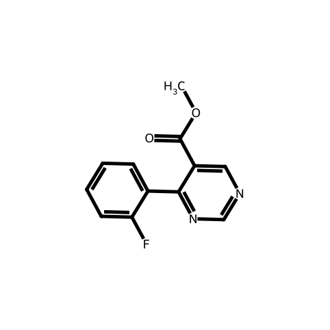 COC(=O)c1cncnc1-c1ccccc1F